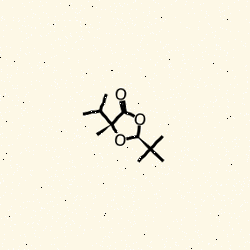 CC(C)[C@@]1(C)O[C@H](C(C)(C)C)OC1=O